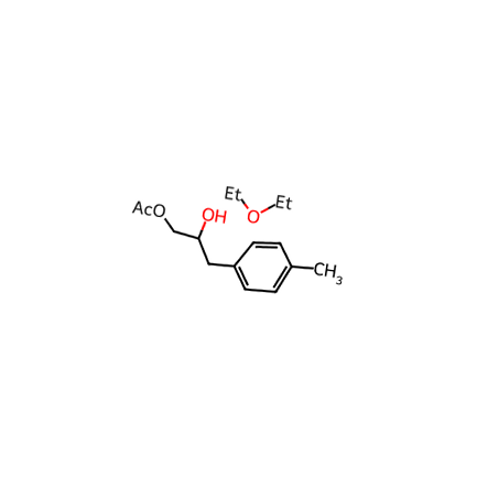 CC(=O)OCC(O)Cc1ccc(C)cc1.CCOCC